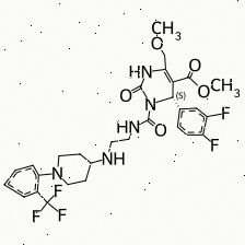 COCC1=C(C(=O)OC)[C@H](c2ccc(F)c(F)c2)N(C(=O)NCCNC2CCN(c3ccccc3C(F)(F)F)CC2)C(=O)N1